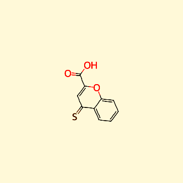 O=C(O)c1cc(=S)c2ccccc2o1